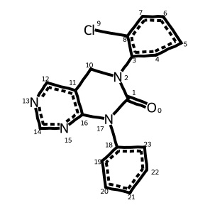 O=C1N(c2ccccc2Cl)Cc2cncnc2N1c1ccccc1